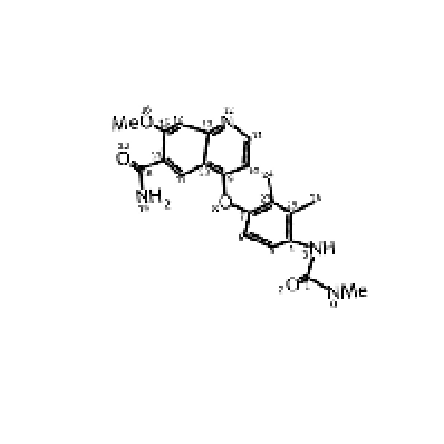 CNC(=O)Nc1ccc(Oc2ccnc3cc(OC)c(C(N)=O)cc23)c(C)c1C